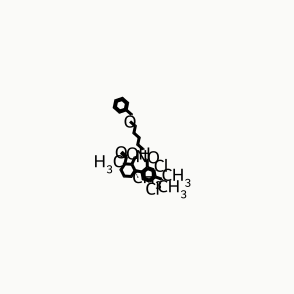 CC(C)c1c(Cl)cc2c(c1Cl)C(=O)N(CCCCCOCc1ccccc1)CC1[C@](C)(C(=O)O)CCC[C@]21C